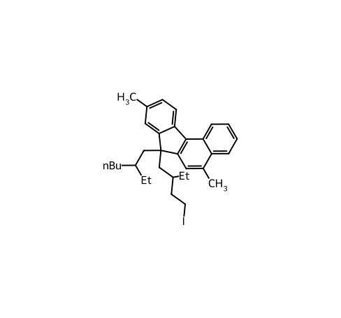 CCCCC(CC)CC1(CC(CC)CCI)c2cc(C)ccc2-c2c1cc(C)c1ccccc21